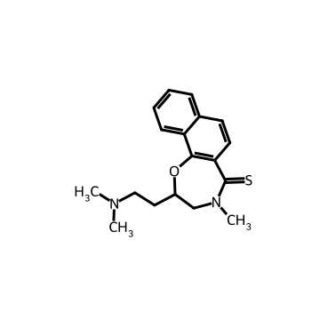 CN(C)CCC1CN(C)C(=S)c2ccc3ccccc3c2O1